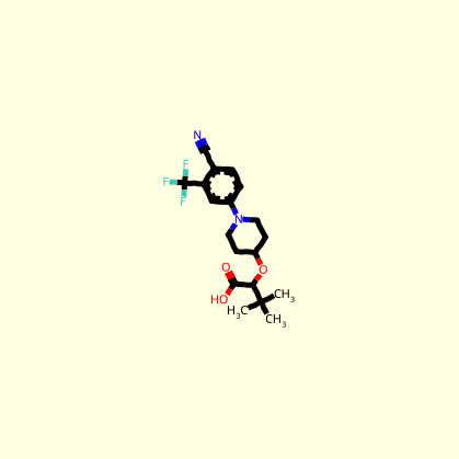 CC(C)(C)C(OC1CCN(c2ccc(C#N)c(C(F)(F)F)c2)CC1)C(=O)O